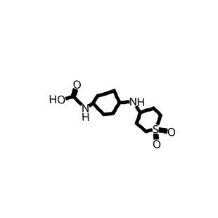 O=C(O)NC1CCC(NC2CCS(=O)(=O)CC2)CC1